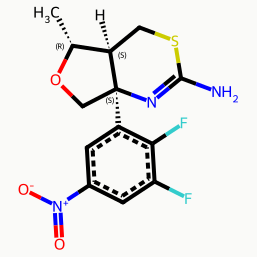 C[C@H]1OC[C@]2(c3cc([N+](=O)[O-])cc(F)c3F)N=C(N)SC[C@H]12